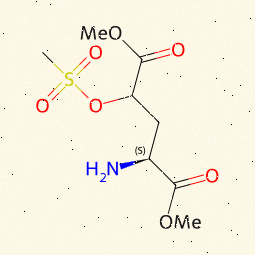 COC(=O)C(C[C@H](N)C(=O)OC)OS(C)(=O)=O